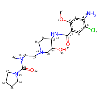 COc1cc(N)c(Cl)cc1C(=O)NC1CCN(CCN(C)C(=O)N2CCCC2)CC1O